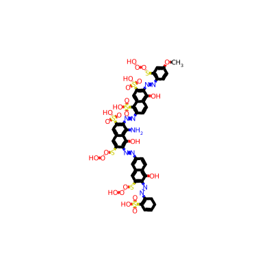 COc1ccc(N=Nc2c(S(=O)(=O)O)cc3c(S(=O)(=O)O)c(N=Nc4c(S(=O)(=O)O)cc5cc(SOOO)c(N=Nc6ccc7c(O)c(N=NC8=C(S(=O)(=O)O)C=CCC8)c(SOOO)cc7c6)c(O)c5c4N)ccc3c2O)c(SOOO)c1